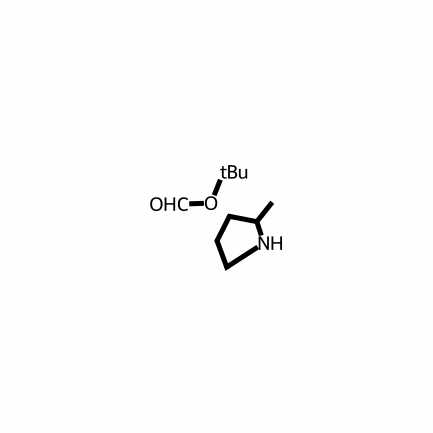 CC(C)(C)OC=O.CC1CCCN1